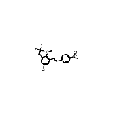 COc1c(/C=C/c2ccc([N+](=O)[O-])cc2)cc(Br)cc1CC(F)(F)F